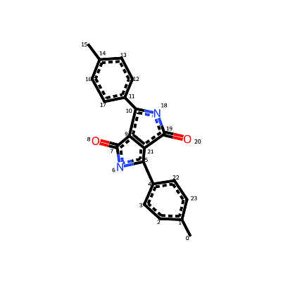 Cc1ccc(-c2nc(=O)c3c(-c4ccc(C)cc4)nc(=O)c2=3)cc1